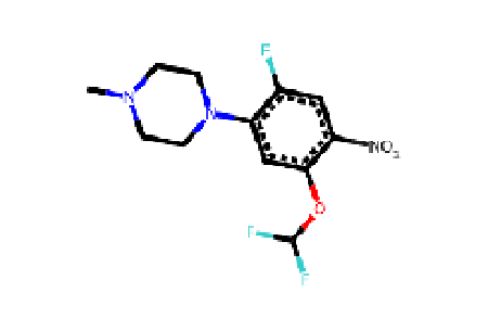 CN1CCN(c2cc(OC(F)F)c([N+](=O)[O-])cc2F)CC1